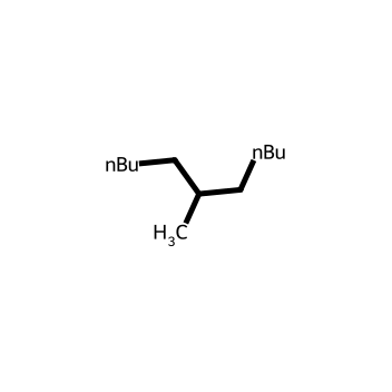 C[CH]CCCC(C)CCCCC